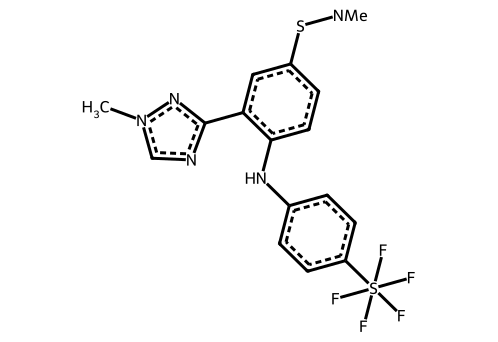 CNSc1ccc(Nc2ccc(S(F)(F)(F)(F)F)cc2)c(-c2ncn(C)n2)c1